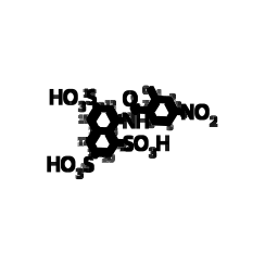 Cc1cc([N+](=O)[O-])ccc1C(=O)Nc1cc(S(=O)(=O)O)cc2cc(S(=O)(=O)O)cc(S(=O)(=O)O)c12